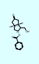 O=C1C[C@H]2C[C@@H](OC(=O)c3ccccc3)C(CO)[C@H]2C1